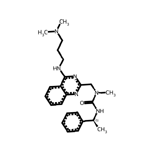 C[C@H](NC(=O)N(C)Cc1nc(NCCCN(C)C)c2ccccc2n1)c1ccccc1